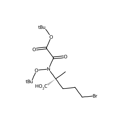 CC(C)(C)OC(=O)C(=O)N(OC(C)(C)C)[C@@](C)(CCCBr)C(=O)O